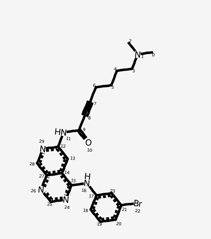 CN(C)CCCCC#CC(=O)Nc1cc2c(Nc3cccc(Br)c3)ncnc2cn1